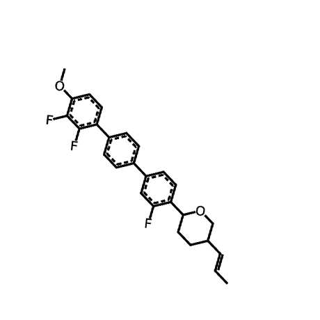 C/C=C/C1CCC(c2ccc(-c3ccc(-c4ccc(OC)c(F)c4F)cc3)cc2F)OC1